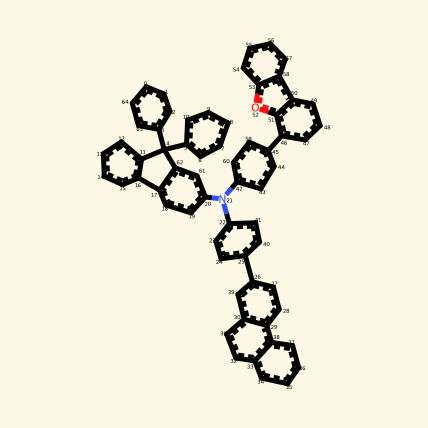 c1ccc(C2(c3ccccc3)c3ccccc3-c3ccc(N(c4ccc(-c5ccc6c(ccc7ccccc76)c5)cc4)c4ccc(-c5cccc6c5oc5ccccc56)cc4)cc32)cc1